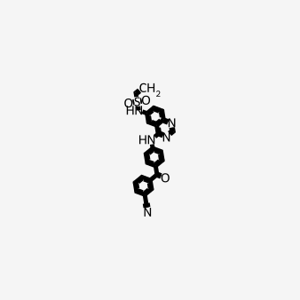 C=CS(=O)(=O)Nc1ccc2ncnc(Nc3ccc(C(=O)c4cccc(C#N)c4)cc3)c2c1